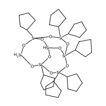 C1CCC([Si]23O[SiH2]O[Si]4(C5CCCC5)O[SiH](O2)O[Si](C2CCCC2)(O[Si](C2CCCC2)(C2CCCC2)O3)O[Si](C2CCCC2)(C2CCCC2)O4)C1